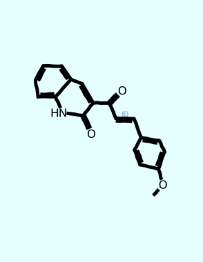 COc1ccc(/C=C/C(=O)c2cc3ccccc3[nH]c2=O)cc1